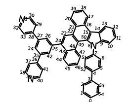 c1ccc(-c2ccc(-n3c4ccccc4c4c5ccccc5c5cc(-c6cc(-c7ccncc7)cc(-c7ccncc7)c6)c6ccccc6c5c43)cc2)cc1